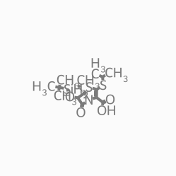 CC[C@]12SC(SC(C)C)=C(C(=O)O)N1C(=O)C2O[SiH2]C(C)(C)C